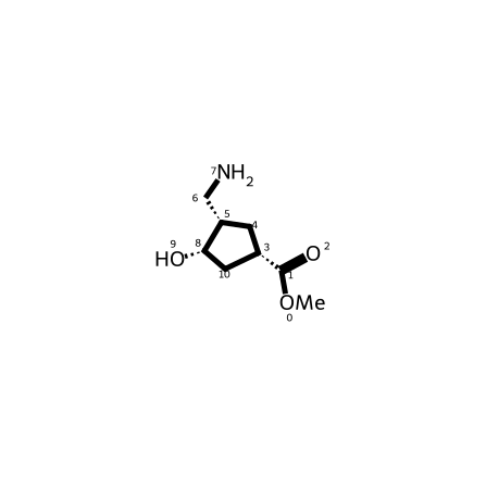 COC(=O)[C@H]1C[C@@H](CN)[C@@H](O)C1